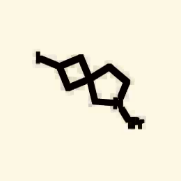 CC(C)N1CCC2(CC(I)C2)C1